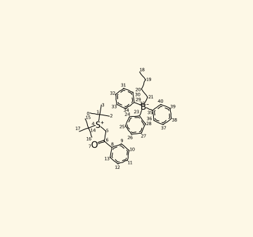 CC(C)(C)[S+](CC(=O)c1ccccc1)C(C)(C)C.CCCC[B-](c1ccccc1)(c1ccccc1)c1ccccc1